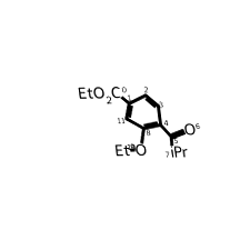 CCOC(=O)c1ccc(C(=O)C(C)C)c(OCC)c1